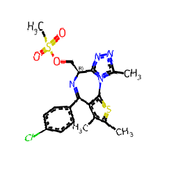 Cc1sc2c(c1C)C(c1ccc(Cl)cc1)=N[C@@H](COS(C)(=O)=O)c1nnc(C)n1-2